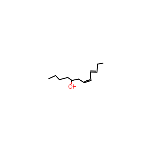 CCC=C/C=C\CC(O)CCCC